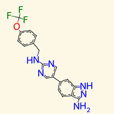 Nc1n[nH]c2cc(-c3cnc(NCc4ccc(OC(F)(F)F)cc4)nc3)ccc12